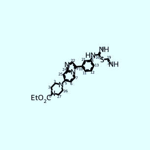 CCOC(=O)N1CCN(c2ccn3c(-c4cccc(NC(=N)SC=N)c4)cnc3c2)CC1